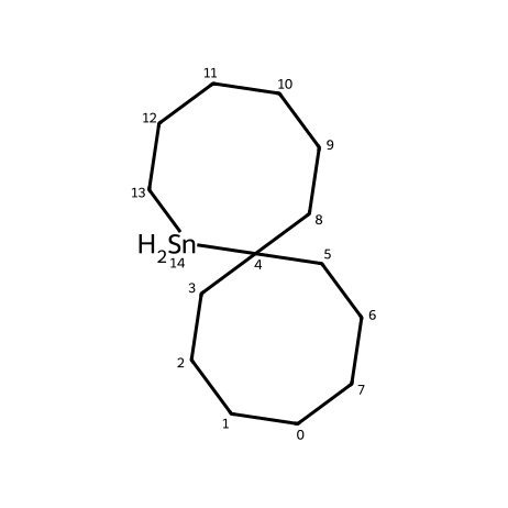 C1CCC[C]2(CCC1)CCCCC[CH2][SnH2]2